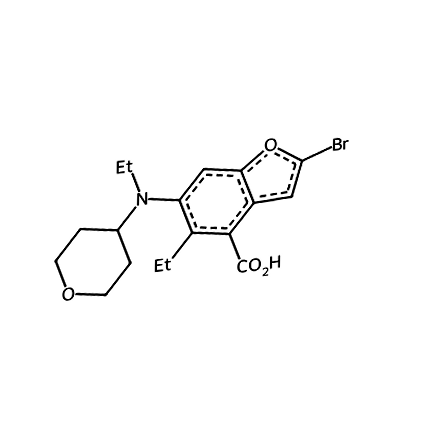 CCc1c(N(CC)C2CCOCC2)cc2oc(Br)cc2c1C(=O)O